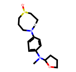 CN(c1ccc(N2CCC[S+]([O-])CCC2)cc1)C1CCCO1